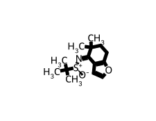 CC1(C)CCc2occc2/C1=N\[S@@+]([O-])C(C)(C)C